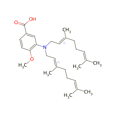 COc1ccc(C(=O)O)cc1N(C/C=C(\C)CCC=C(C)C)C/C=C(\C)CCC=C(C)C